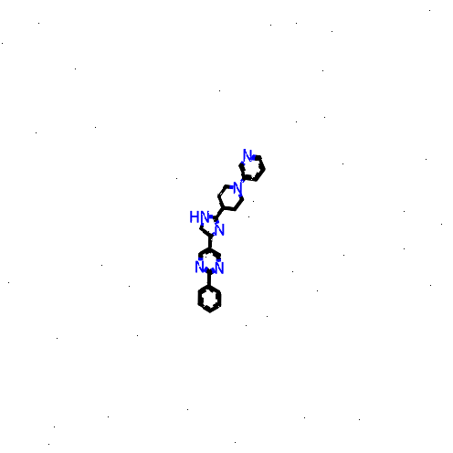 c1ccc(-c2ncc(C3CNC(C4CCN(c5cccnc5)CC4)=N3)cn2)cc1